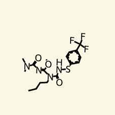 CCCCN(C(=O)NSc1ccc(C(F)(F)F)cc1)C(=NC(=O)N(C)C)OC